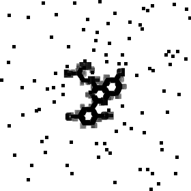 CC[C@@H](N)CNc1nc(-c2cc(Cl)ccc2O)nc2ccc(Cl)cc12